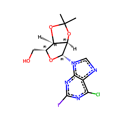 CC1(C)O[C@@H]2[C@H](O1)[C@@H](CO)O[C@H]2n1cnc2c(Cl)nc(I)nc21